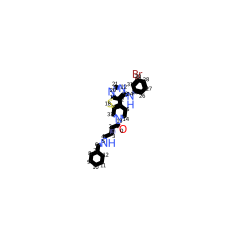 O=C(/C=C/CNCC1CCCCC1)N1CCc2c(sc3ncnc(Nc4cccc(Br)c4)c23)C1